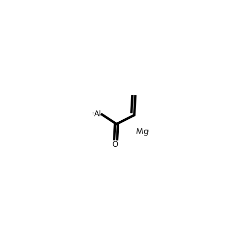 C=C[C](=O)[Al].[Mg]